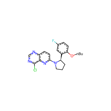 CCCCOc1ccc(F)cc1[C@H]1CCCN1c1ccc2ncnc(Cl)c2n1